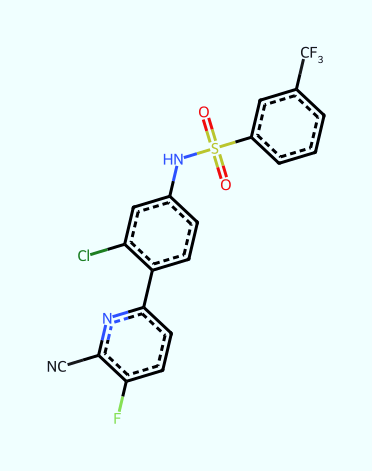 N#Cc1nc(-c2ccc(NS(=O)(=O)c3cccc(C(F)(F)F)c3)cc2Cl)ccc1F